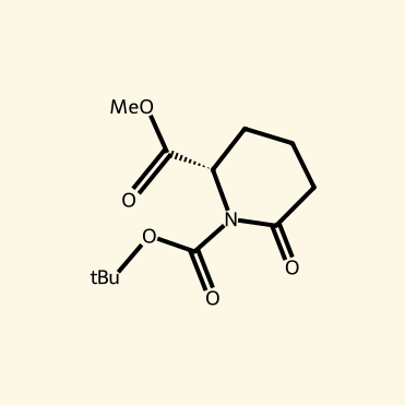 COC(=O)[C@@H]1CCCC(=O)N1C(=O)OC(C)(C)C